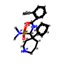 COc1ccccc1C(=O)NC(C1(c2ccccc2)CCCNCC1)S(=O)(=O)N(C)C